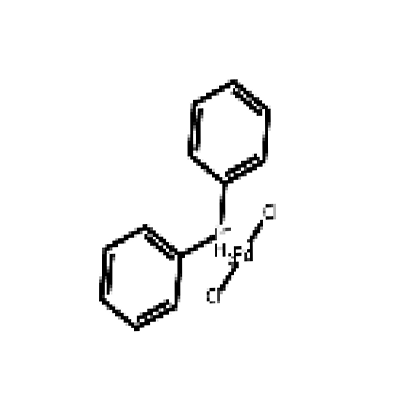 [Cl][Pd][Cl].c1ccc([PH2+]c2ccccc2)cc1